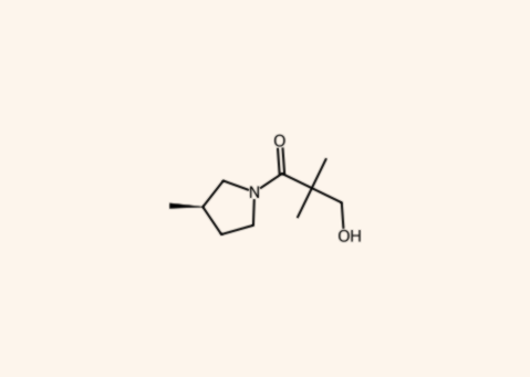 C[C@@H]1CCN(C(=O)C(C)(C)CO)C1